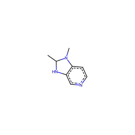 CC1Nc2cnccc2N1C